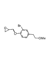 COCCc1ccc(OCC2CO2)c(Br)c1